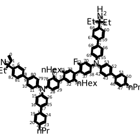 C=CC(N)(CC)c1ccc(-c2ccc(N(c3ccc(-c4ccc(CCC)cc4)cc3)c3ccc(-c4cc(CCCCCC)c(-c5ccc(N(c6ccc(-c7ccc(CCC)cc7)cc6)c6ccc(-c7ccc(C(N)(CC)CC)cc7)cc6)cc5F)cc4CCCCCC)c(F)c3)cc2)cc1